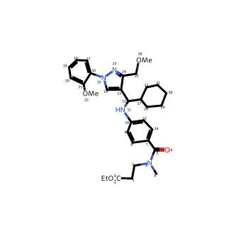 CCOC(=O)CCN(C)C(=O)c1ccc(NC(c2cn(-c3ccccc3OC)nc2COC)C2CCCCC2)cc1